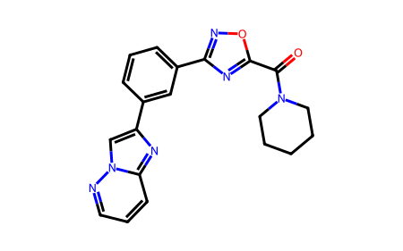 O=C(c1nc(-c2cccc(-c3cn4ncccc4n3)c2)no1)N1CCCCC1